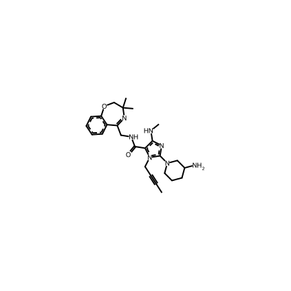 CC#CCn1c(N2CCCC(N)C2)nc(NC)c1C(=O)NCC1=NC(C)(C)COc2ccccc21